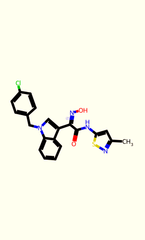 Cc1cc(NC(=O)/C(=N\O)c2cn(Cc3ccc(Cl)cc3)c3ccccc23)sn1